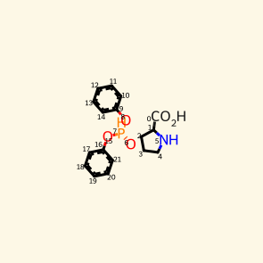 O=C(O)C1CCCN1.O=[PH](Oc1ccccc1)Oc1ccccc1